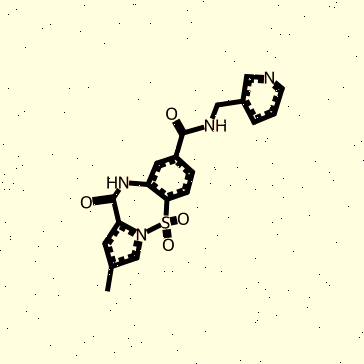 Cc1cc2n(c1)S(=O)(=O)c1ccc(C(=O)NCc3cccnc3)cc1NC2=O